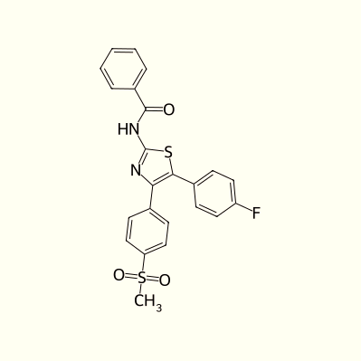 CS(=O)(=O)c1ccc(-c2nc(NC(=O)c3ccccc3)sc2-c2ccc(F)cc2)cc1